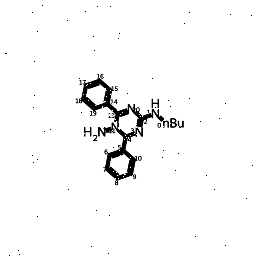 CCCCNC1=NC(c2ccccc2)N(N)C(c2ccccc2)=N1